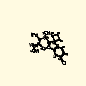 CC(C)C(C(=O)NO)N(C)C(=O)C1(c2ccc(Cl)cc2)CCC1